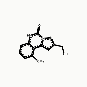 COc1cccc2[nH]c(=O)n3nc(CO)cc3c12